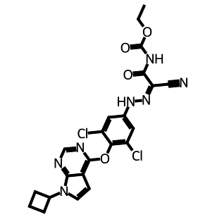 CCOC(=O)NC(=O)C(C#N)=NNc1cc(Cl)c(Oc2ncnc3c2ccn3C2CCC2)c(Cl)c1